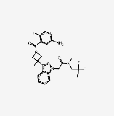 CN(CC(F)(F)F)C(=O)Cn1nc(C2(C)CN(C(=O)c3cc(N)ncc3F)C2)c2ccccc21